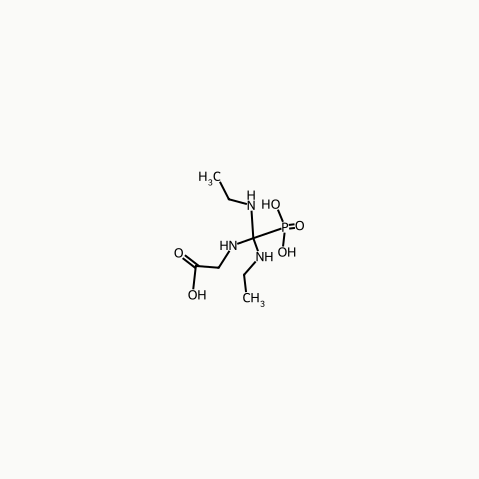 CCNC(NCC)(NCC(=O)O)P(=O)(O)O